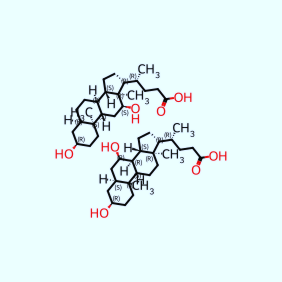 C[C@H](CCC(=O)O)[C@H]1CC[C@H]2[C@@H]3CC[C@@H]4C[C@H](O)CC[C@]4(C)[C@H]3C[C@H](O)[C@]12C.C[C@H](CCC(=O)O)[C@H]1CC[C@H]2[C@@H]3[C@H](O)C[C@@H]4C[C@H](O)CC[C@]4(C)[C@H]3CC[C@]12C